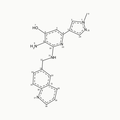 Cn1cc(-c2cc(O)c(N)c(NCc3ccc4ncccc4c3)n2)cn1